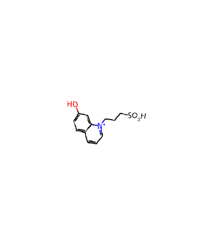 O=S(=O)(O)CCC[n+]1cccc2ccc(O)cc21